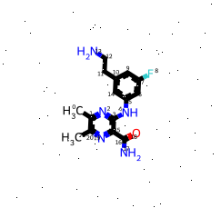 Cc1nc(Nc2cc(F)cc(CCN)c2)c(C(N)=O)nc1C